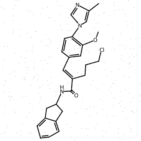 COc1cc(C=C(CCCCl)C(=O)NC2Cc3ccccc3C2)ccc1-n1cnc(C)c1